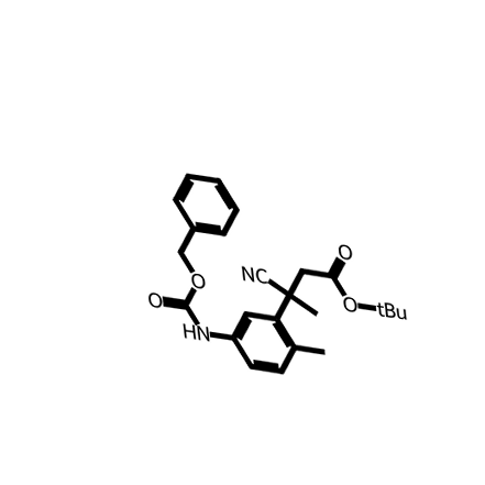 Cc1ccc(NC(=O)OCc2ccccc2)cc1C(C)(C#N)CC(=O)OC(C)(C)C